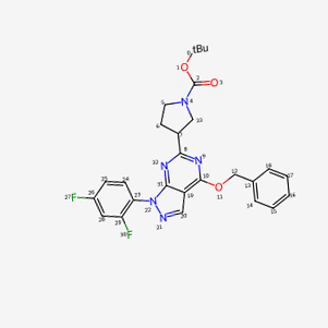 CC(C)(C)OC(=O)N1CCC(c2nc(OCc3ccccc3)c3cnn(-c4ccc(F)cc4F)c3n2)C1